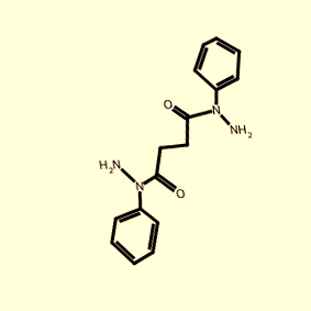 NN(C(=O)CCC(=O)N(N)c1ccccc1)c1ccccc1